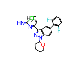 C=C/C(=N\C(=N)Cl)c1nn(C2CCCCO2)c2ccc(-c3c(F)cccc3F)cc12